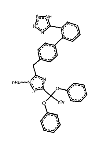 CCCCn1nc(C(CCC)(Oc2ccccc2)Oc2ccccc2)nc1Cc1ccc(-c2ccccc2-c2nnn[nH]2)cc1